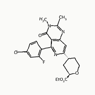 CCOC(=O)[C@H]1C[C@H](c2cc3nc(C)n(C)c(=O)c3c(-c3ccc(Cl)cc3F)n2)CCO1